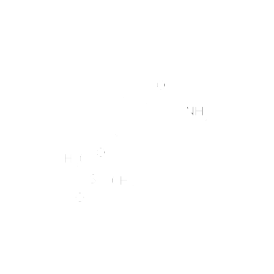 C[S+](C)[O-].Nc1cccc2c1C(=O)c1ccccc1C2=O